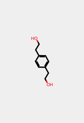 OCCc1ccc(CCO)cc1